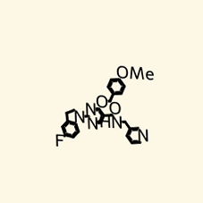 COc1ccc(COc2nc(N3CCc4cc(F)ccc43)ncc2C(=O)NCc2cccnc2)cc1